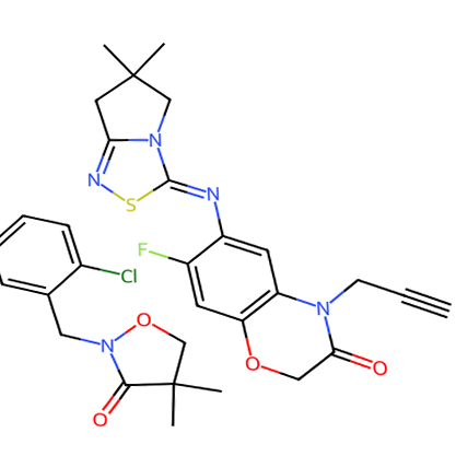 C#CCN1C(=O)COc2cc(F)c(/N=c3\snc4n3CC(C)(C)C4)cc21.CC1(C)CON(Cc2ccccc2Cl)C1=O